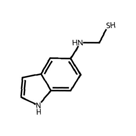 SCNc1ccc2[nH]ccc2c1